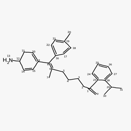 C=C(CCCC/C(C)=C(/C1=CCC(N)C=C1)c1ccc(C)cc1)c1ccccc1C(C)C